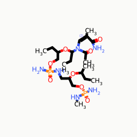 CCC(C)OC(CNP(N)(=O)OCC(CC)OC(CC)N(/C=C(/C)C(N)=O)C(C)=O)COP(N)(=O)NC